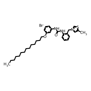 CCCCCCCCCCCCCCOc1cccc(NC(=O)Nc2ccccc2C[n+]2csc(C)c2)c1.[Br-]